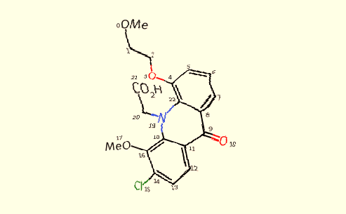 COCCOc1cccc2c(=O)c3ccc(Cl)c(OC)c3n(CC(=O)O)c12